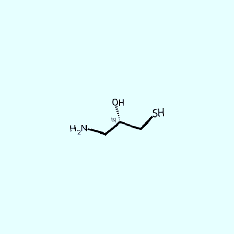 NC[C@H](O)CS